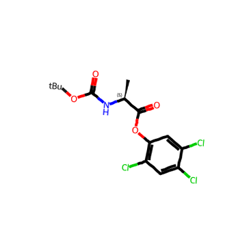 C[C@H](NC(=O)OC(C)(C)C)C(=O)Oc1cc(Cl)c(Cl)cc1Cl